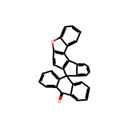 O=C1c2ccccc2C2(c3ccccc31)c1ccccc1-c1c2ccc2oc3ccccc3c12